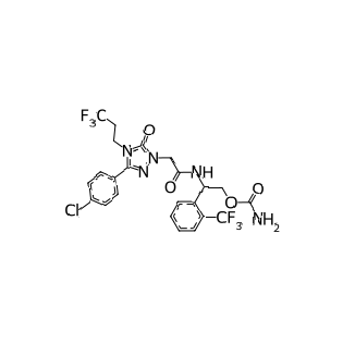 NC(=O)OCC(NC(=O)Cn1nc(-c2ccc(Cl)cc2)n(CCC(F)(F)F)c1=O)c1ccccc1C(F)(F)F